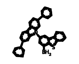 Bc1cc(-n2c3cc(-c4ccccc4)ccc3c3ccc(-c4ccccc4)cc32)cc2c1sc1ccccc12